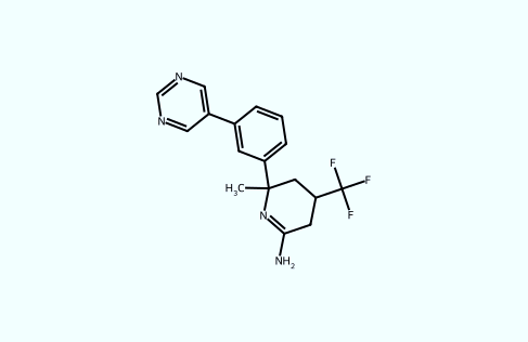 CC1(c2cccc(-c3cncnc3)c2)CC(C(F)(F)F)CC(N)=N1